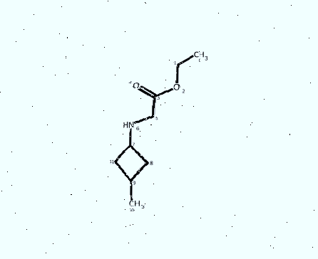 CCOC(=O)CNC1CC(C)C1